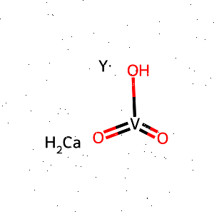 [CaH2].[O]=[V](=[O])[OH].[Y]